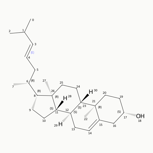 CC(C)/C=C/C[C@@H](C)[C@H]1CC[C@H]2[C@@H]3CC=C4C[C@@H](O)CC[C@]4(C)[C@H]3CC[C@]12C